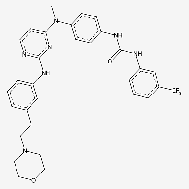 CN(c1ccc(NC(=O)Nc2cccc(C(F)(F)F)c2)cc1)c1ccnc(Nc2cccc(CCN3CCOCC3)c2)n1